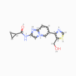 O=C(Nc1cn2cc(-c3ncsc3CO)ccc2n1)C1CC1